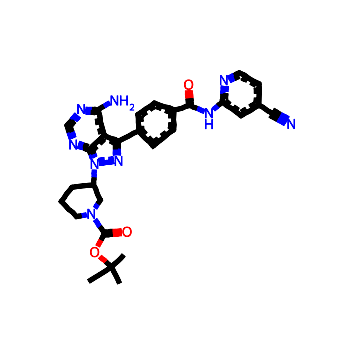 CC(C)(C)OC(=O)N1CCCC(n2nc(-c3ccc(C(=O)Nc4cc(C#N)ccn4)cc3)c3c(N)ncnc32)C1